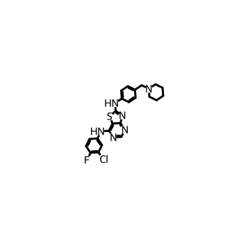 Fc1ccc(Nc2ncnc3nc(Nc4ccc(CN5CCCCC5)cc4)sc23)cc1Cl